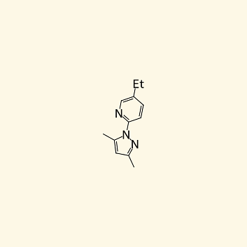 CCc1ccc(-n2nc(C)cc2C)nc1